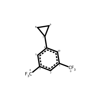 FC(F)(F)c1[c]c(C(F)(F)F)cc(C2CC2)c1